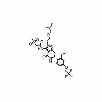 CCc1cc(OCC(F)(F)F)ccc1[C@H]1Cc2nn(CCOCC(F)F)c(NC(=O)CS(C)(=O)=O)c2C(=O)N1